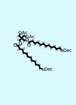 CCCCCCCCCCCCCCCCCCCCCC(=O)OCC(COC(C)=O)(COC(C)=O)COC(=O)CCCCCCCCCCCCCCCCCCCCC